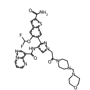 NC(=O)c1cc2cc(OC(F)F)c(-c3nn(CC(=O)N4CCN(CN5CCOCC5)CC4)cc3NC(=O)c3cnn4cccnc34)cc2s1